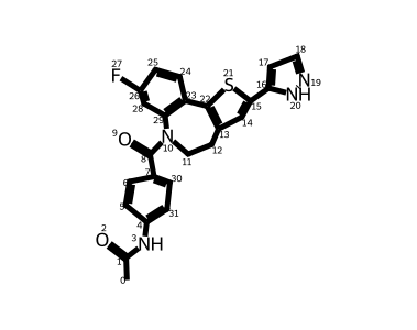 CC(=O)Nc1ccc(C(=O)N2CCc3cc(-c4ccn[nH]4)sc3-c3ccc(F)cc32)cc1